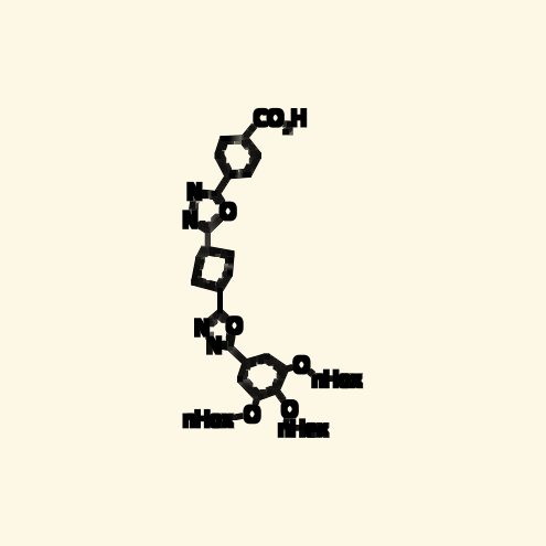 CCCCCCOc1cc(-c2nnc(-c3ccc(-c4nnc(-c5ccc(C(=O)O)cc5)o4)cc3)o2)cc(OCCCCCC)c1OCCCCCC